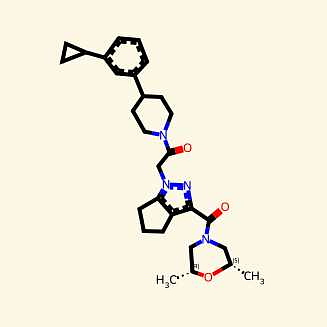 C[C@@H]1CN(C(=O)c2nn(CC(=O)N3CCC(c4cccc(C5CC5)c4)CC3)c3c2CCC3)C[C@H](C)O1